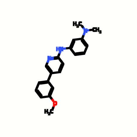 COc1cccc(-c2ccc(Nc3cccc(N(C)C)c3)nc2)c1